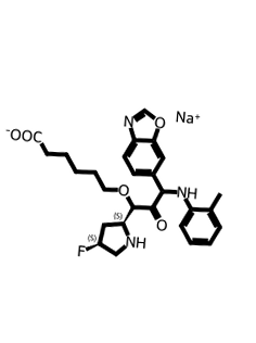 Cc1ccccc1NC(C(=O)C(OCCCCCC(=O)[O-])[C@@H]1C[C@H](F)CN1)c1ccc2ncoc2c1.[Na+]